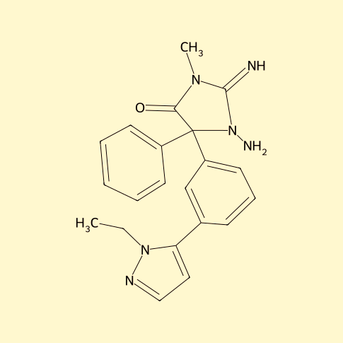 CCn1nccc1-c1cccc(C2(c3ccccc3)C(=O)N(C)C(=N)N2N)c1